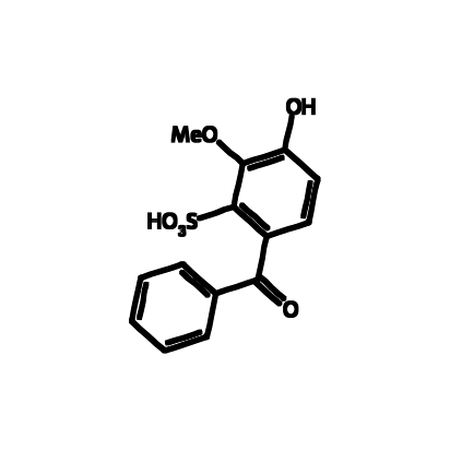 COc1c(O)ccc(C(=O)c2ccccc2)c1S(=O)(=O)O